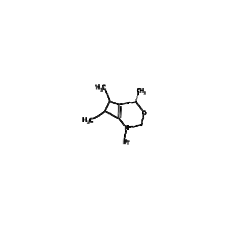 CC1OCN(C(C)C)C2=C1C(C)C2C